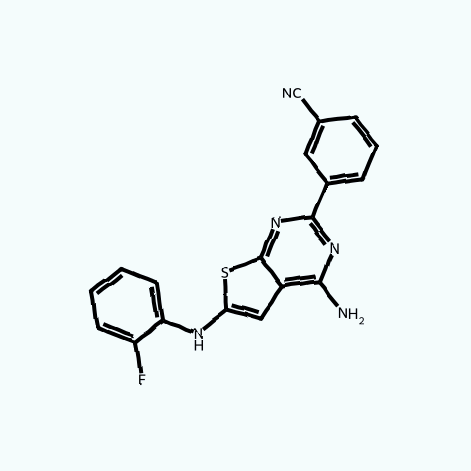 N#Cc1cccc(-c2nc(N)c3cc(Nc4ccccc4F)sc3n2)c1